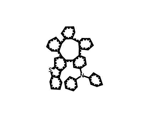 c1ccc(N(c2ccccc2)c2ccc3c4ccccc4c4ccccc4c4ccccc4c4cc5sc6ccccc6c5cc4c3c2)cc1